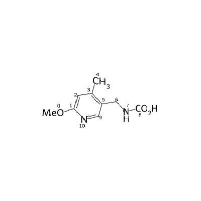 COc1cc(C)c(CNC(=O)O)cn1